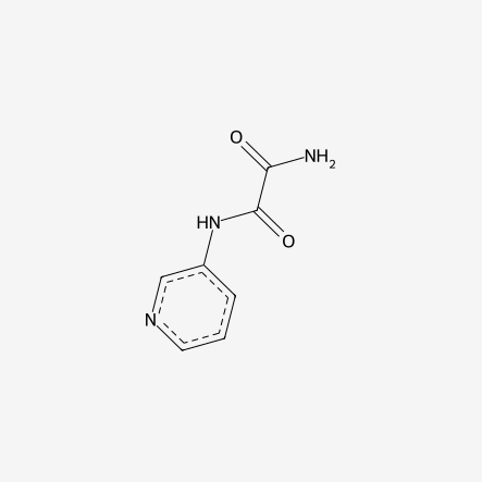 NC(=O)C(=O)Nc1cccnc1